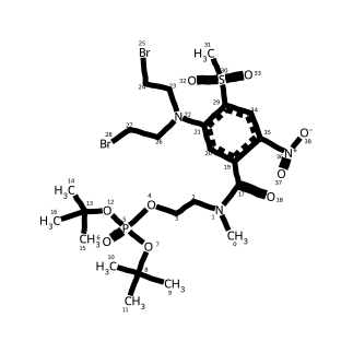 CN(CCOP(=O)(OC(C)(C)C)OC(C)(C)C)C(=O)c1cc(N(CCBr)CCBr)c(S(C)(=O)=O)cc1[N+](=O)[O-]